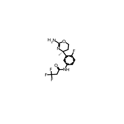 C[C@@]1(c2cc(NC(=O)CC(F)(F)F)ccc2F)CCOC(N)=N1